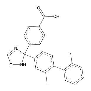 Cc1ccccc1-c1ccc(C2(c3ccc(C(=O)O)cc3)N=CON2)cc1C